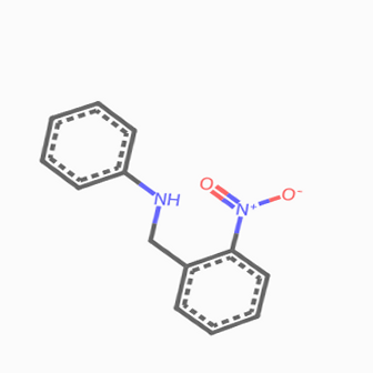 O=[N+]([O-])c1ccccc1CNc1ccccc1